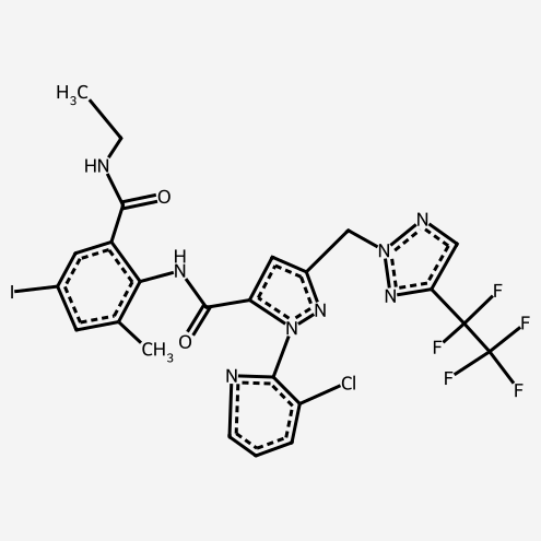 CCNC(=O)c1cc(I)cc(C)c1NC(=O)c1cc(Cn2ncc(C(F)(F)C(F)(F)F)n2)nn1-c1ncccc1Cl